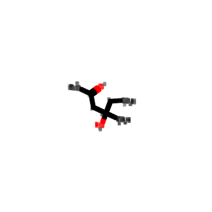 CC(C)COC(=O)CC(O)(CC(=O)O)C(=O)O